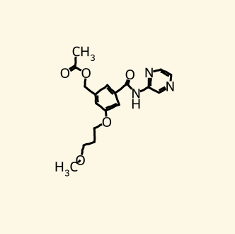 COCCCOc1cc(COC(C)=O)cc(C(=O)Nc2cnccn2)c1